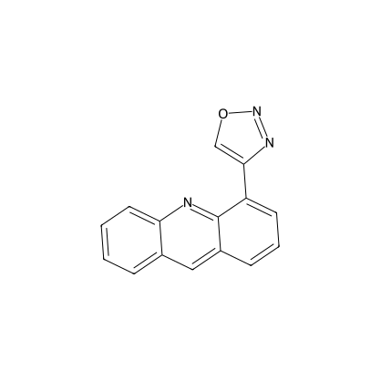 c1ccc2nc3c(-c4conn4)cccc3cc2c1